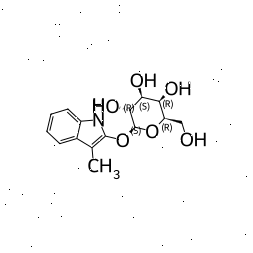 Cc1c(O[C@@H]2O[C@H](CO)[C@H](O)[C@H](O)[C@H]2O)[nH]c2ccccc12